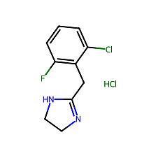 Cl.Fc1cccc(Cl)c1CC1=NCCN1